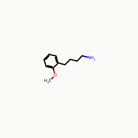 COc1c[c]ccc1CCCCN